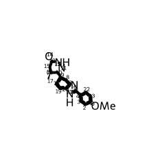 COc1ccc(-c2nc3cc(C4=NNC(=O)C[C@@H]4C)ccc3[nH]2)cc1